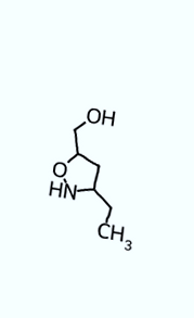 CCC1CC(CO)ON1